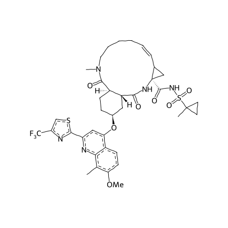 COc1ccc2c(O[C@H]3CC[C@H]4C(=O)N(C)CCCC/C=C\C5C[C@@]5(C(=O)NS(=O)(=O)C5(C)CC5)NC(=O)[C@@H]4C3)cc(-c3nc(C(F)(F)F)cs3)nc2c1C